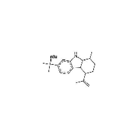 C=C(C)C1CCC(C)C2Nc3cc(C(C)(C)CCCC)ccc3C12